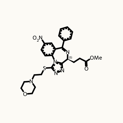 COC(=O)CC[C@@H]1N=C(c2ccccc2)c2cc([N+](=O)[O-])ccc2-n2c(SCCN3CCOCC3)nnc21